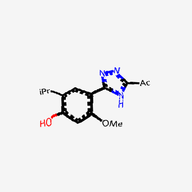 COc1cc(O)c(C(C)C)cc1-c1nnc(C(C)=O)[nH]1